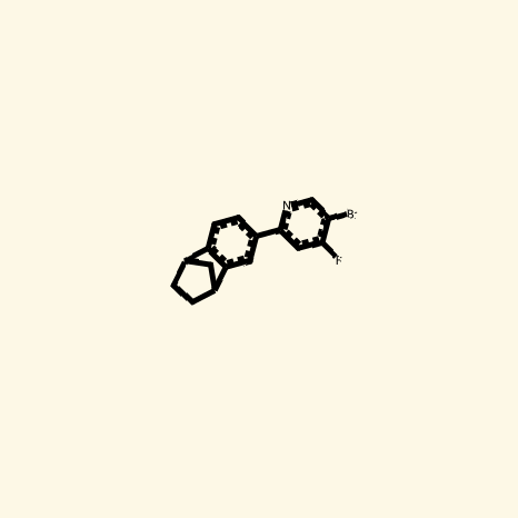 Fc1cc(-c2ccc3c(c2)C2CCC3C2)ncc1Br